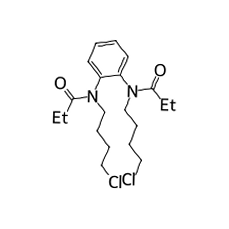 CCC(=O)N(CCCCCl)c1ccccc1N(CCCCCl)C(=O)CC